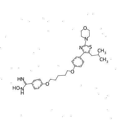 CC(C)Cc1sc(N2CCOCC2)nc1-c1ccc(OCCCCCOc2ccc(C(=N)NO)cc2)cc1